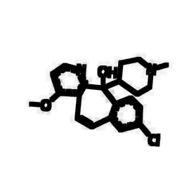 COc1ccnc2c1C=Cc1cc(Cl)ccc1C2(O)C1CCN(C)CC1